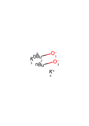 CCCC[O-].CCCC[O-].[K+].[K+]